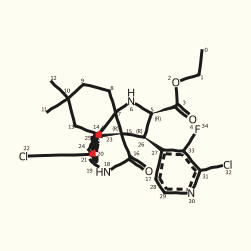 CCOC(=O)[C@@H]1NC2(CCC(C)(C)CC2)[C@@]2(C(=O)Nc3cc(Cl)ccc32)[C@@H]1c1ccnc(Cl)c1F